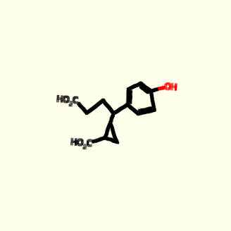 O=C(O)CCC(c1ccc(O)cc1)C1CC1C(=O)O